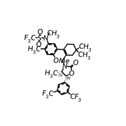 COc1cc(C)c(N(C)S(=O)(=O)C(F)(F)F)cc1C1=C(CN2C(=O)O[C@H](c3cc(C(F)(F)F)cc(C(F)(F)F)c3)[C@@H]2C)CC(C)(C)CC1